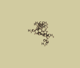 COC(=O)CCC(C)C1CCC2C3C[C@H](O[Si](C)(C)C(C)(C)C)[C@@H]4C[C@H](C)CC[C@]4(C)C3CC[C@]12C